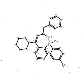 Nc1ccc([N+]2([O-])NN(Cc3ccccc3)C=C(C3CCCCC3)c3ccccc32)cc1